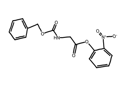 O=C(CNC(=O)OCc1ccccc1)Oc1ccccc1[N+](=O)[O-]